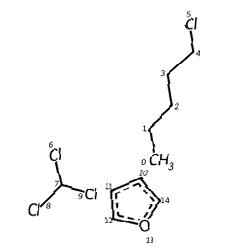 CCCCCCl.ClC(Cl)Cl.c1ccoc1